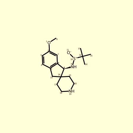 COc1ccc2c(c1)[C@@H](N[S+]([O-])C(C)(C)C)C1(CCNCC1)C2